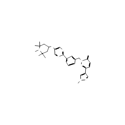 CN1C(C)(C)CC(Oc2cnc(-c3cccc(Cn4nc(-c5cnn(C)c5)ccc4=O)c3)nc2)CC1(C)C